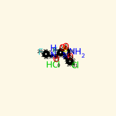 Cl.N[C@H]1CS(=O)(=O)c2cc(F)c(C(=O)NCc3ccc(F)cc3)cc2N(Cc2ccc(Cl)cc2)C1=O